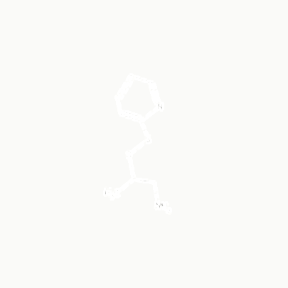 CC(CN)SSc1ccccn1